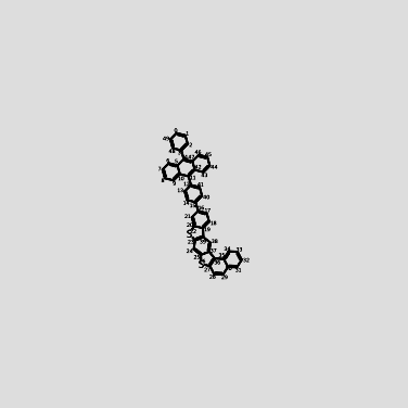 c1ccc(-c2c3ccccc3c(-c3ccc(-c4ccc5c(c4)sc4cc6sc7ccc8ccccc8c7c6cc45)cc3)c3ccccc23)cc1